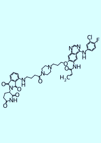 C=CC(=O)Nc1cc2c(Nc3ccc(F)c(Cl)c3)ncnc2cc1OCCCN1CCN(C(=O)CCCNc2cccc3c2C(=O)N(C2CCC(=O)NC2=O)C3=O)CC1